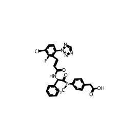 CN(C(=O)[C@@H](NC(=O)/C=C/c1c(-n2ncnn2)ccc(Cl)c1F)c1ccccc1)c1ccc(CC(=O)O)cc1